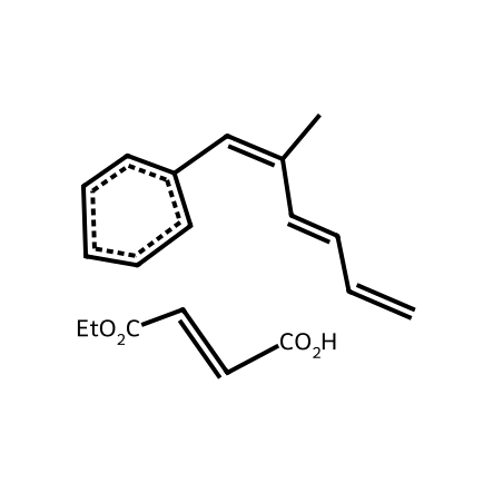 C=CC=CC(C)=Cc1ccccc1.CCOC(=O)C=CC(=O)O